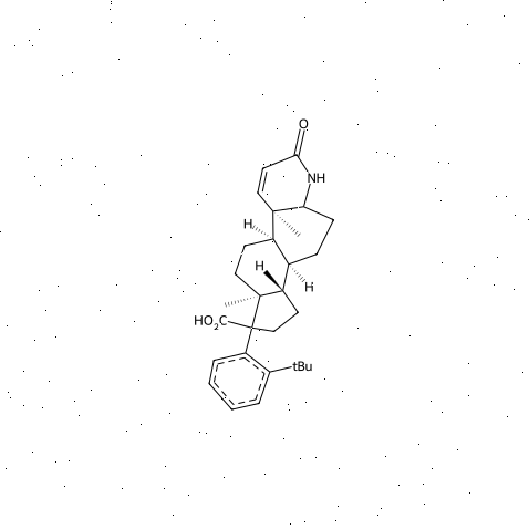 CC(C)(C)c1ccccc1C1(C(=O)O)CC[C@H]2[C@@H]3CCC4NC(=O)C=C[C@]4(C)[C@@H]3CC[C@@]21C